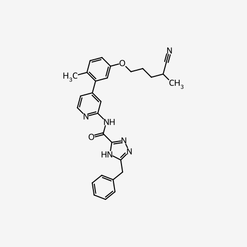 Cc1ccc(OCCCC(C)C#N)cc1-c1ccnc(NC(=O)c2nnc(Cc3ccccc3)[nH]2)c1